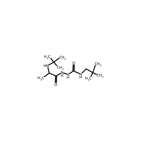 CC(NC(C)(C)C)C(=O)NNC(=O)NCC(C)(C)C